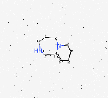 C1=C2CNCCCN2CCC1